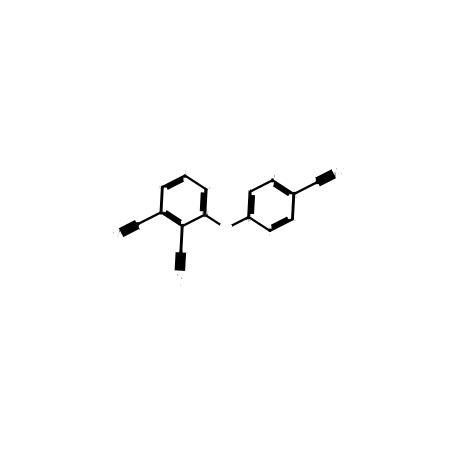 N#Cc1ccc(Oc2cccc(C#N)c2C#N)cc1